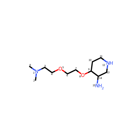 CN(C)CCOCCOC1CCNCC1N